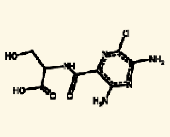 Nc1nc(N)c(C(=O)NC(CO)C(=O)O)nc1Cl